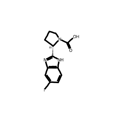 O=C(O)N1CCC[C@H]1c1nc2cc(I)ccc2[nH]1